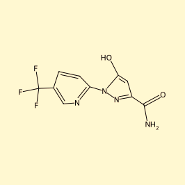 NC(=O)c1cc(O)n(-c2ccc(C(F)(F)F)cn2)n1